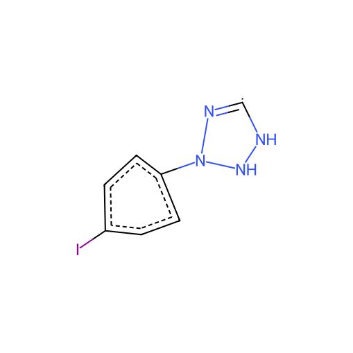 Ic1ccc(N2N=[C]NN2)cc1